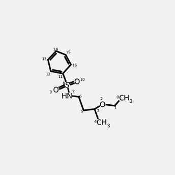 CCOC(C)CCNS(=O)(=O)c1ccccc1